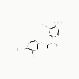 CCC(C(=O)Oc1ccc(O)c(C(C)(C)C)c1)c1ccc(O)c(C(C)(C)C)c1